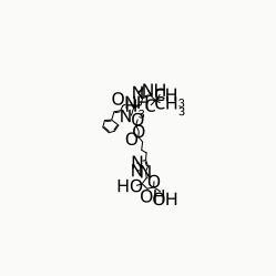 CC(C)(C)c1[nH]cnc1/C=c1\[nH]c(=O)/c(=C/c2ccccc2)nc1OCOC(=O)CCCc1cn(C2OC(CO)C(O)C2O)nn1